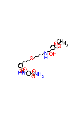 CC1(C)OCc2cc(C(O)CNCCCCCCOCCCCc3cccc(S(=O)(=O)Nc4ccc(S(N)(=O)=O)cc4)c3)ccc2O1